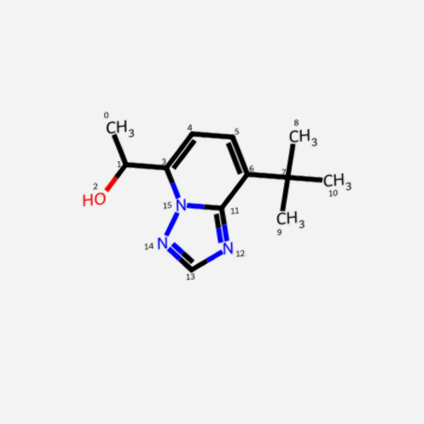 CC(O)c1ccc(C(C)(C)C)c2ncnn12